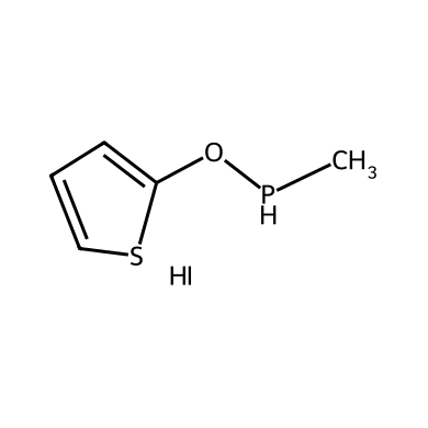 CPOc1cccs1.I